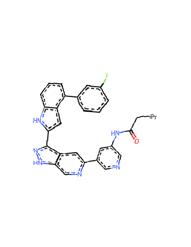 CC(C)CC(=O)Nc1cncc(-c2cc3c(-c4cc5c(-c6cccc(F)c6)cccc5[nH]4)n[nH]c3cn2)c1